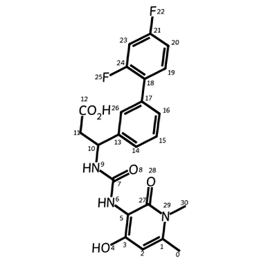 Cc1cc(O)c(NC(=O)NC(CC(=O)O)c2cccc(-c3ccc(F)cc3F)c2)c(=O)n1C